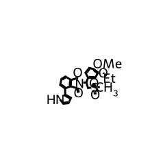 CCOc1cc(C(CS(C)(=O)=O)N2C(=O)c3cccc(-c4ccc[nH]4)c3C2=O)ccc1OC